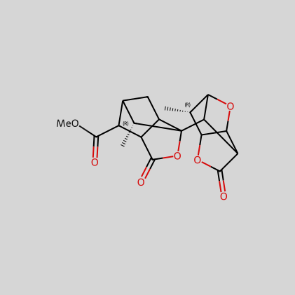 COC(=O)C1C2C(=O)OC3(C4C5C(=O)OC6C5OC4[C@H]6C)C2CC1[C@H]3C